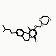 Cc1c(OC[C@@H]2COCCO2)cc(=O)n2c1-c1ccc(CCC(C)C)cc1CC2